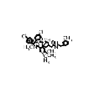 CCOc1cc(C(C)(C)C)ncc1C1=N[C@@](C)(c2ccc(Cl)cc2)[C@@](C)(c2ccc(Cl)cc2)N1C(=O)N1CCC(CC(=O)NCCc2cccc(C)c2)CC1